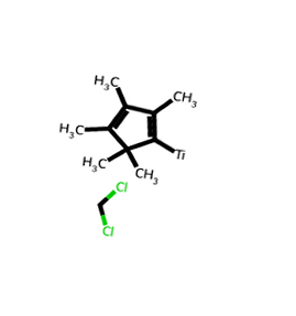 CC1=C(C)C(C)(C)[C]([Ti])=C1C.ClCCl